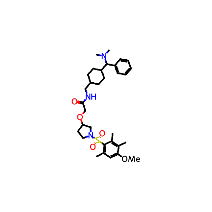 COc1cc(C)c(S(=O)(=O)N2CCC(OCC(=O)NCC3CCC(C(c4ccccc4)N(C)C)CC3)C2)c(C)c1C